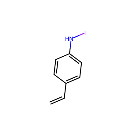 C=Cc1ccc(NI)cc1